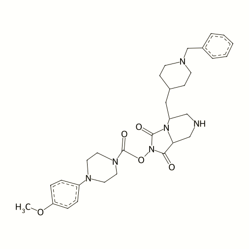 COc1ccc(N2CCN(C(=O)ON3C(=O)C4CNCC(CC5CCN(Cc6ccccc6)CC5)N4C3=O)CC2)cc1